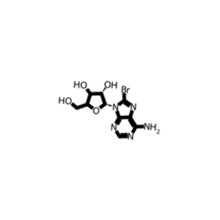 Nc1ncnc2c1nc(Br)n2[C@@H]1OC(CO)C(O)[C@@H]1O